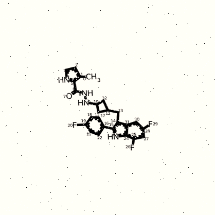 Cc1cc[nH]c1C(=O)NNC1CC(Cc2c(-c3ccc(F)cc3)[nH]c3c(F)cc(F)cc23)C1